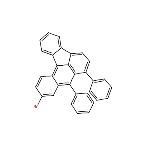 Brc1ccc2c3c4c(ccc(-c5ccccc5)c4c(-c4ccccc4)c2c1)-c1ccccc1-3